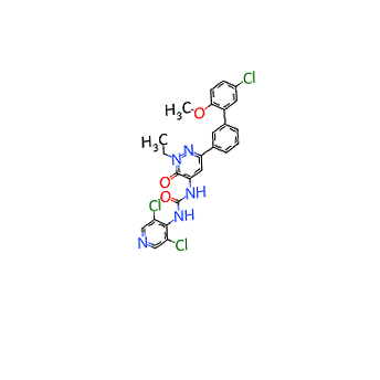 CCn1nc(-c2cccc(-c3cc(Cl)ccc3OC)c2)cc(NC(=O)Nc2c(Cl)cncc2Cl)c1=O